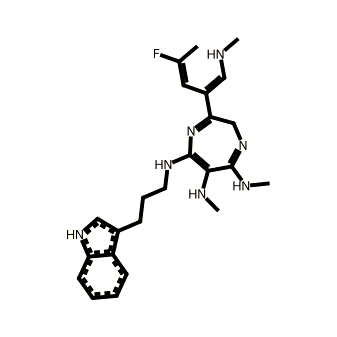 CN/C=C(\C=C(/C)F)C1=NC(NCCCc2c[nH]c3ccccc23)=C(NC)C(NC)=NC1